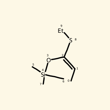 CC=C(O[Si](C)(C)C)SCC